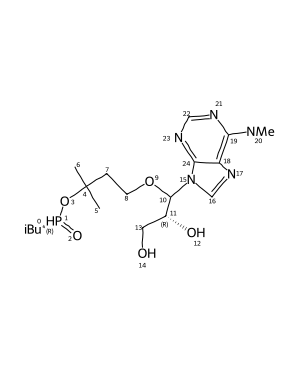 CC[C@@H](C)[PH](=O)OC(C)(C)CCOC([C@H](O)CO)n1cnc2c(NC)ncnc21